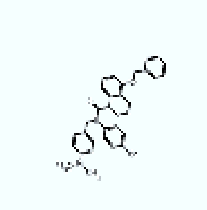 CN(C)c1ccc(CN(C(=O)C2CCCc3c(OCc4ccccc4)cccc32)c2ccc(Br)cc2)cc1